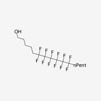 CCCCCC(F)(F)C(F)(F)C(F)(F)C(F)(F)C(F)(F)C(F)(F)CCCCCO